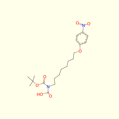 CC(C)(C)OC(=O)N(CCCCCCCCOc1ccc([N+](=O)[O-])cc1)C(=O)O